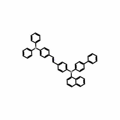 C(=C\c1ccc(N(c2ccc(-c3ccccc3)cc2)c2cccc3ccccc23)cc1)/c1ccc(N(c2ccccc2)c2ccccc2)cc1